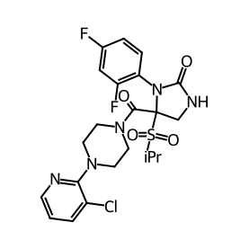 CC(C)S(=O)(=O)C1(C(=O)N2CCN(c3ncccc3Cl)CC2)CNC(=O)N1c1ccc(F)cc1F